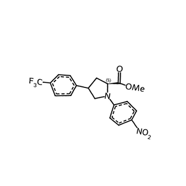 COC(=O)[C@@H]1CC(c2ccc(C(F)(F)F)cc2)CN1c1ccc([N+](=O)[O-])cc1